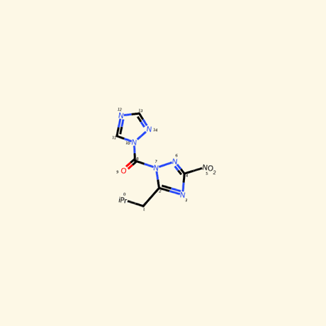 CC(C)Cc1nc([N+](=O)[O-])nn1C(=O)n1cncn1